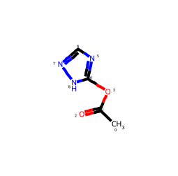 CC(=O)Oc1n[c]n[nH]1